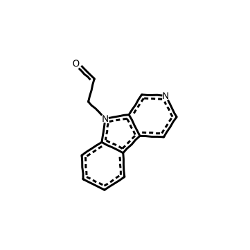 O=CCn1c2ccccc2c2ccncc21